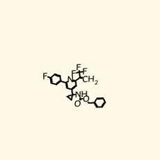 C=C(c1cc(C2(NC(=O)OCc3ccccc3)CC2)cc(-c2ccc(F)cc2)n1)C(F)(F)F